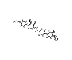 CCCc1ccc(-c2ccc(CCC3CC=C(c4ccc(OCC)c(F)c4)CC3)c(F)c2F)cc1